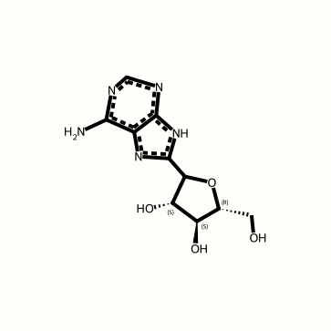 Nc1ncnc2[nH]c(C3O[C@H](CO)[C@@H](O)[C@@H]3O)nc12